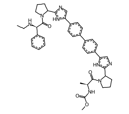 CCN[C@@H](C(=O)N1CCCC1c1ncc(-c2ccc(-c3ccc(-c4cnc(C5CCCN5C(=O)[C@H](C)NC(=O)OC)[nH]4)cc3)cc2)[nH]1)c1ccccc1